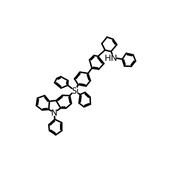 C1=CC(Nc2ccccc2)C(c2ccc(-c3ccc([Si](c4ccccc4)(c4ccccc4)c4ccc5c(c4)c4ccccc4n5-c4ccccc4)cc3)cc2)CC1